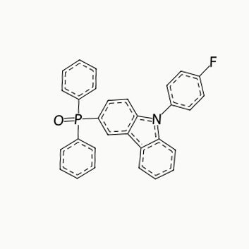 O=P(c1ccccc1)(c1ccccc1)c1ccc2c(c1)c1ccccc1n2-c1ccc(F)cc1